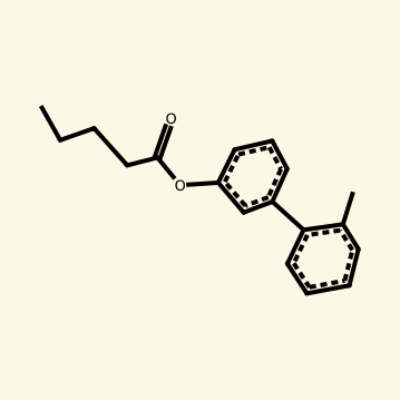 CCCCC(=O)Oc1cccc(-c2ccccc2C)c1